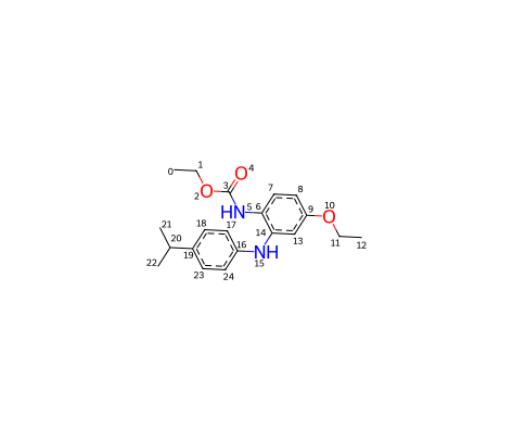 CCOC(=O)Nc1ccc(OCC)cc1Nc1ccc(C(C)C)cc1